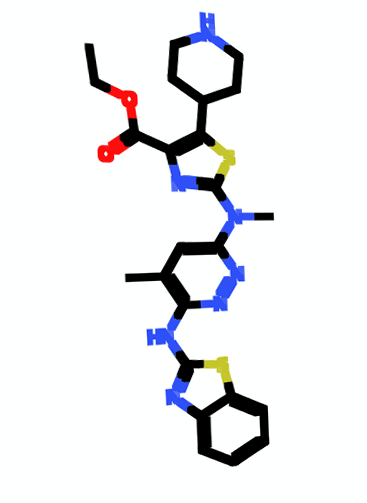 CCOC(=O)c1nc(N(C)c2cc(C)c(Nc3nc4ccccc4s3)nn2)sc1C1CCNCC1